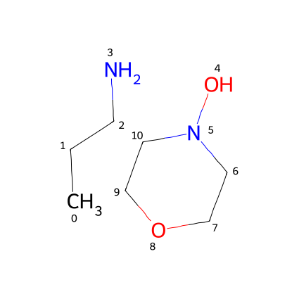 CCCN.ON1CCOCC1